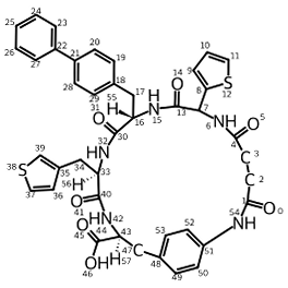 O=C1CCC(=O)NC(c2cccs2)C(=O)N[C@@H](Cc2ccc(-c3ccccc3)cc2)C(=O)N[C@H](Cc2ccsc2)C(=O)N[C@H](C(=O)O)Cc2ccc(cc2)N1